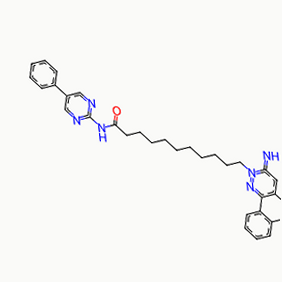 N=c1cc2c(nn1CCCCCCCCCCC(=O)Nc1ncc(-c3ccccc3)cn1)-c1ccccc1CC2